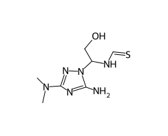 CN(C)c1nc(N)n(C(CO)NC=S)n1